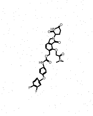 CN(C)C(=O)COc1c(COC(=O)Nc2ccc(Oc3ccc(F)c(F)c3)cc2)ccc2c1C(=O)N(C1CCC(=O)NC1=O)C2